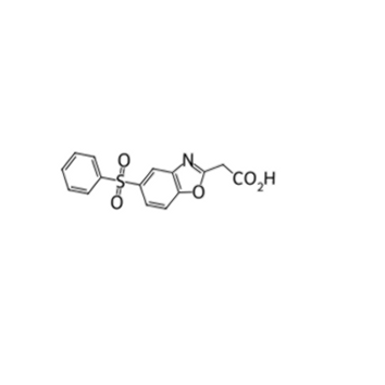 O=C(O)Cc1nc2cc(S(=O)(=O)c3ccccc3)ccc2o1